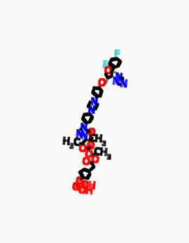 CC[C@@H]([C@H](C)OC(=O)OC(C)OC(=O)Cc1ccc(OP(=O)(O)O)cc1)n1ncn(-c2ccc(N3CCN(c4ccc(OC[C@@H]5CO[C@@](Cn6cncn6)(c6ccc(F)cc6F)C5)cc4)CC3)cc2)c1=O